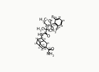 CCN(C(C)(C)C(=O)NC1C2CC3CC1CC(C(N)=O)(C3)C2)S(=O)(=O)c1c(F)cccc1F